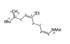 C=C(C/C=C(/CC)CC/C=C\NC)C(C)(C)C